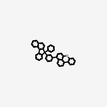 c1ccc(C2(c3cccc(-c4ccc5c6c(cccc46)-c4ccccc4O5)c3)c3ccccc3-c3c2ccc2ccccc32)cc1